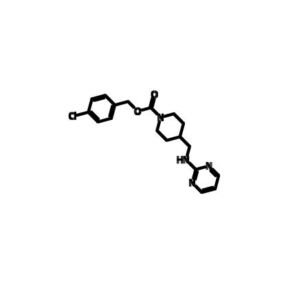 O=C(OCc1ccc(Cl)cc1)N1CCC(CNc2ncccn2)CC1